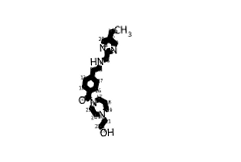 CCc1cnc(CNCCC2CCC(C(=O)N3CCCN(CCO)CC3)CC2)nc1